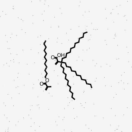 C=C(C(=O)O)C(CCCCCCCCCCCC)(CCCCCCCCCCCC)CCCCCCCCCCCC.C=C(C)C(=O)OCCCCCCCCCCCC